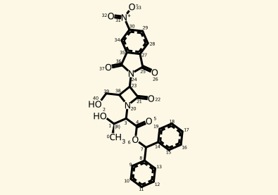 C[C@@H](O)C(C(=O)OC(c1ccccc1)c1ccccc1)N1C(=O)C(N2C(=O)c3ccc([N+](=O)[O-])cc3C2=O)C1CO